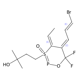 C\C=C1/C(=C\C=C\Br)C(F)(F)OP=S1(=O)CCC(C)(C)O